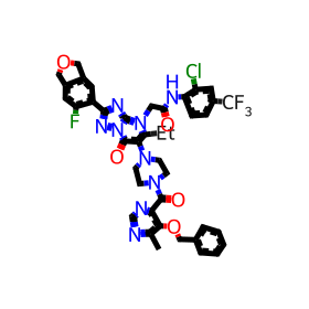 CCc1c(N2CCN(C(=O)c3ncnc(C)c3OCc3ccccc3)CC2)c(=O)n2nc(-c3cc4c(cc3F)COC4)nc2n1CC(=O)Nc1ccc(C(F)(F)F)cc1Cl